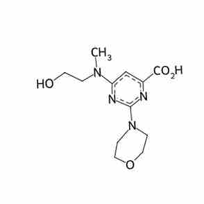 CN(CCO)c1cc(C(=O)O)nc(N2CCOCC2)n1